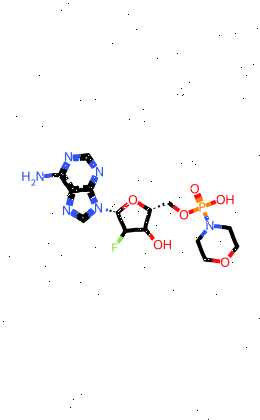 Nc1ncnc2c1ncn2[C@@H]1O[C@H](COP(=O)(O)N2CCOCC2)C(O)C1F